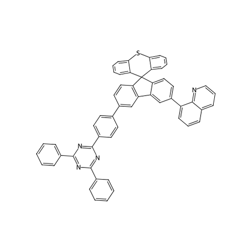 c1ccc(-c2nc(-c3ccccc3)nc(-c3ccc(-c4ccc5c(c4)-c4cc(-c6cccc7cccnc67)ccc4C54c5ccccc5Sc5ccccc54)cc3)n2)cc1